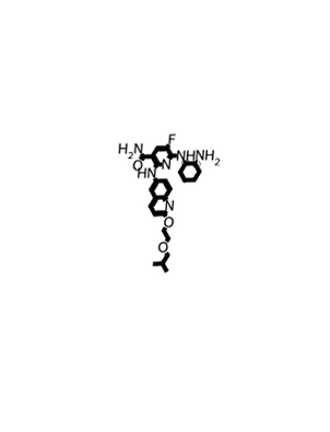 CC(C)COCCOc1ccc2cc(Nc3nc(N[C@@H]4CCCC[C@@H]4N)c(F)cc3C(N)=O)ccc2n1